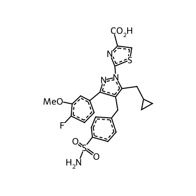 COc1cc(-c2nn(-c3nc(C(=O)O)cs3)c(CC3CC3)c2Cc2ccc(S(N)(=O)=O)cc2)ccc1F